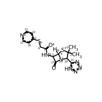 CC1(C)S[C@H]2C(NC(=O)CSc3ccncc3)C(=O)N2C1c1nnn[nH]1